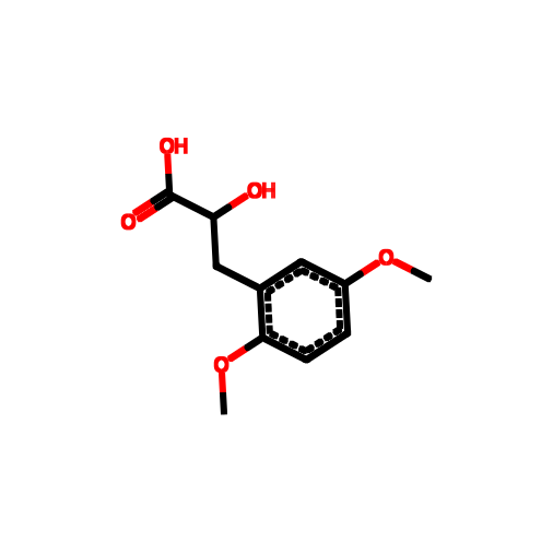 COc1ccc(OC)c(CC(O)C(=O)O)c1